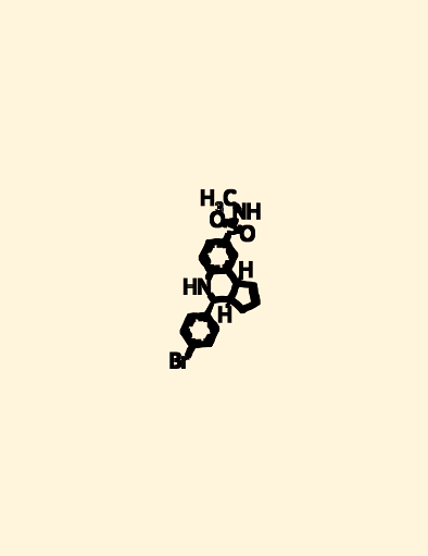 CNS(=O)(=O)c1ccc2c(c1)[C@H]1C=CC[C@H]1[C@@H](c1ccc(Br)cc1)N2